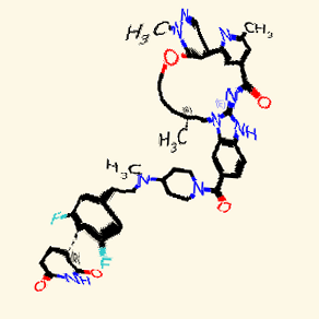 Cc1cc2cc(n1)-c1cnn(C)c1OCCC[C@@H](C)CN1/C(=N/C2=O)Nc2ccc(C(=O)N3CCC(N(C)CCc4cc(F)c([C@H]5CCC(=O)NC5=O)c(F)c4)CC3)cc21